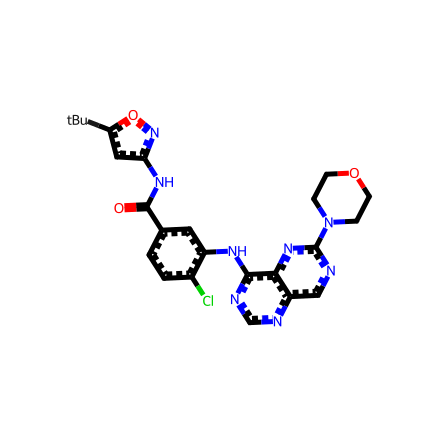 CC(C)(C)c1cc(NC(=O)c2ccc(Cl)c(Nc3ncnc4cnc(N5CCOCC5)nc34)c2)no1